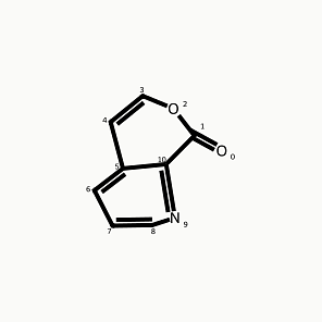 O=c1occc2cccnc12